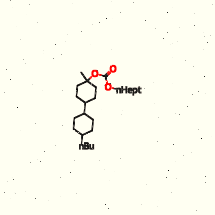 CCCCCCCOC(=O)OC1(C)CCC(C2CCC(CCCC)CC2)CC1